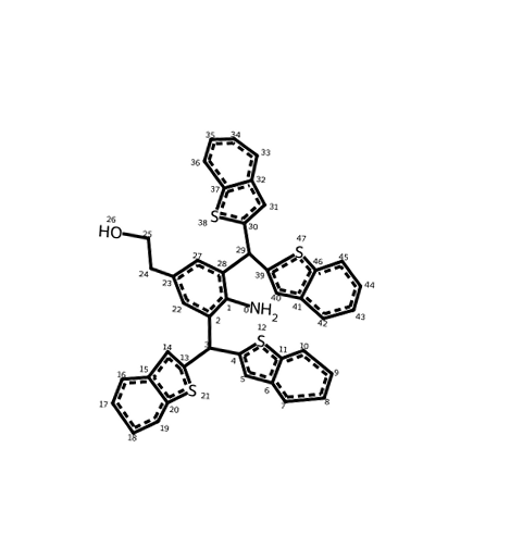 Nc1c(C(c2cc3ccccc3s2)c2cc3ccccc3s2)cc(CCO)cc1C(c1cc2ccccc2s1)c1cc2ccccc2s1